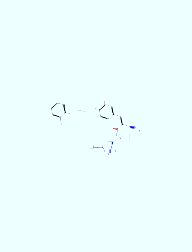 COc1cc(C=C(C#N)C(=O)Nc2nnc(C(F)(F)F)s2)ccc1OCCOc1c(C)cccc1C